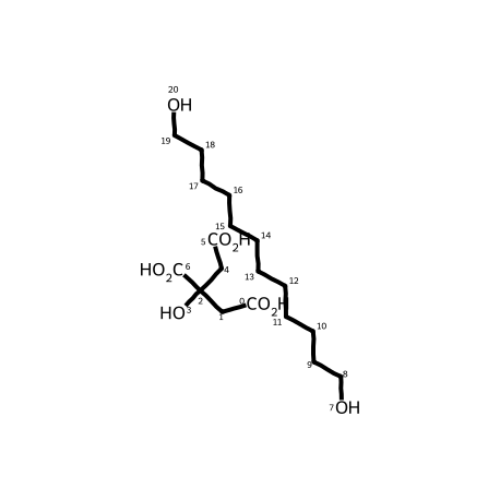 O=C(O)CC(O)(CC(=O)O)C(=O)O.OCCCCCCCCCCCCO